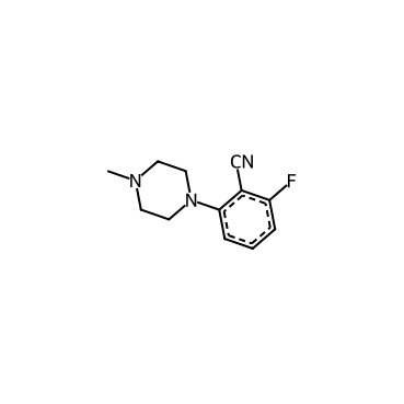 CN1CCN(c2cccc(F)c2C#N)CC1